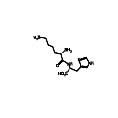 NCCCC[C@H](N)C(=O)N[C@H](Cc1c[nH]cn1)C(=O)O